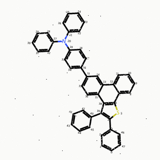 c1ccc(-c2sc3c4ccccc4c4cc(-c5ccc(N(c6ccccc6)c6ccccc6)cc5)ccc4c3c2-c2ccccc2)cc1